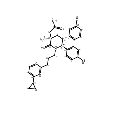 C[C@]1(CC(=O)O)C[C@H](c2cccc(Cl)c2)[C@@H](c2ccc(Cl)cc2)N(CCCc2cccc(C3CC3)n2)C1=O